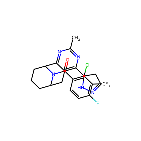 Cc1nc(C2CC=NN2)c2c(n1)C1CCCC(C2)N1C(=O)c1ccc(F)c(C(F)(F)F)c1Cl